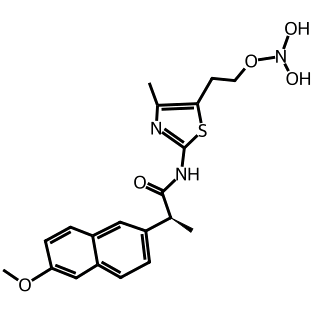 COc1ccc2cc([C@H](C)C(=O)Nc3nc(C)c(CCON(O)O)s3)ccc2c1